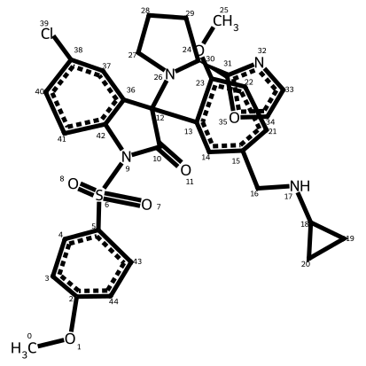 COc1ccc(S(=O)(=O)N2C(=O)C(c3cc(CNC4CC4)ccc3OC)(N3CCC[C@H]3c3ncco3)c3cc(Cl)ccc32)cc1